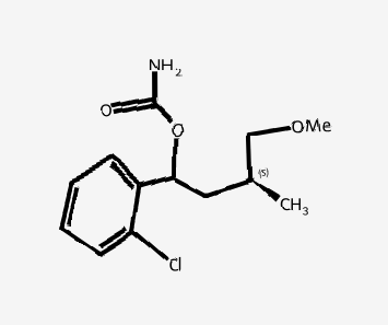 COC[C@@H](C)CC(OC(N)=O)c1ccccc1Cl